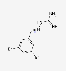 N=C(N)N/N=C/c1cc(Br)cc(Br)c1